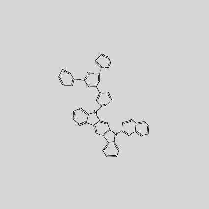 c1ccc(-c2cc(-c3cccc(-n4c5ccccc5c5cc6c7ccccc7n(-c7ccc8ccccc8c7)c6cc54)c3)nc(-c3ccccc3)n2)cc1